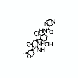 C[C@@H]1C[C@H](N2C(=N)N[C@](C)(c3cccc(NC(=O)c4cnccn4)c3Cl)CC2=O)CCO1.Cl